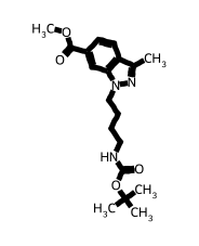 COC(=O)c1ccc2c(C)nn(CCCCNC(=O)OC(C)(C)C)c2c1